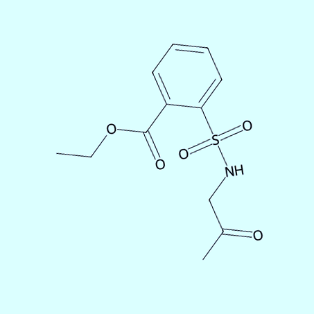 CCOC(=O)c1ccccc1S(=O)(=O)NCC(C)=O